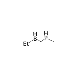 CCBCPC